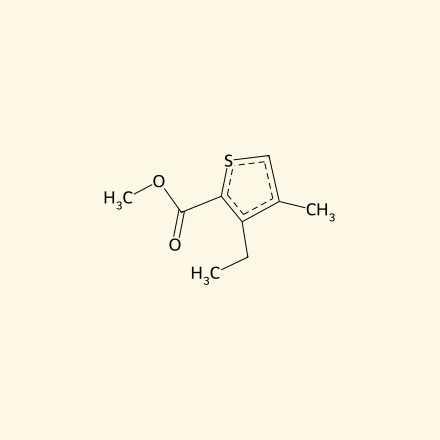 CCc1c(C)csc1C(=O)OC